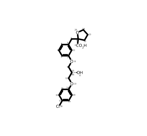 O=C(O)C1(Cc2cccc(OC[C@H](O)COc3ccc(Cl)cc3)c2)CCCO1